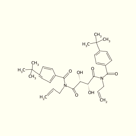 C=CCN(C(=O)c1ccc(C(C)(C)C)cc1)C(=O)[C@H](O)[C@@H](O)C(=O)N(CC=C)C(=O)c1ccc(C(C)(C)C)cc1